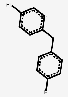 CC(C)c1c[c]c(Cc2ccc(F)cc2)cc1